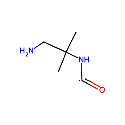 CC(C)(CN)N[C]=O